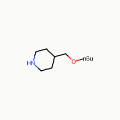 CCCCOCC1CCNCC1